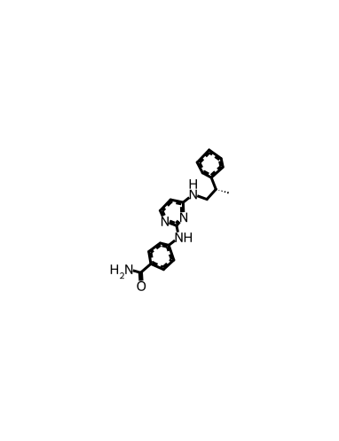 C[C@H](CNc1ccnc(Nc2ccc(C(N)=O)cc2)n1)c1ccccc1